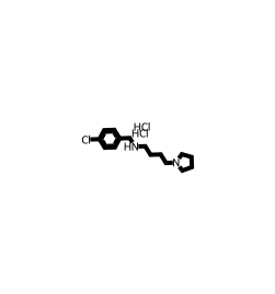 Cl.Cl.Clc1ccc(CNCCCCN2CCCC2)cc1